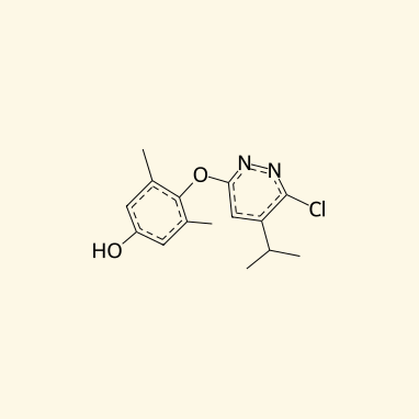 Cc1cc(O)cc(C)c1Oc1cc(C(C)C)c(Cl)nn1